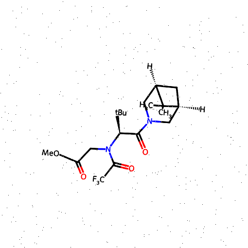 COC(=O)CN(C(=O)C(F)(F)F)[C@H](C(=O)N1C[C@H]2C[C@@H](C1)C2(C)C)C(C)(C)C